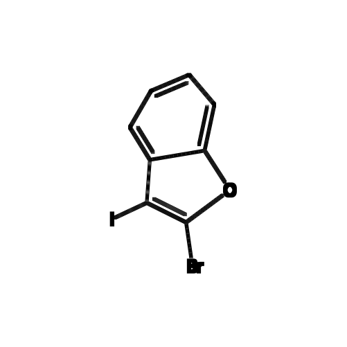 Brc1oc2ccccc2c1I